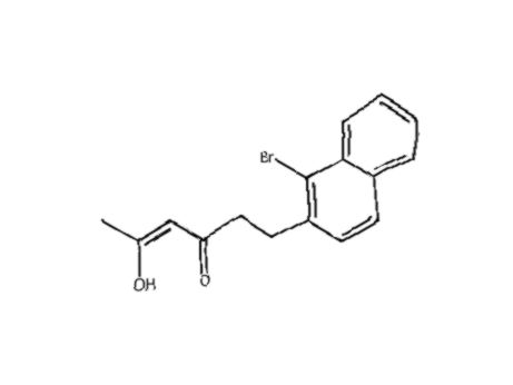 C/C(O)=C/C(=O)CCc1ccc2ccccc2c1Br